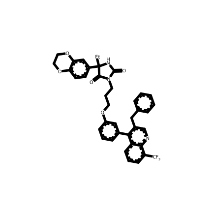 CCC1(c2ccc3c(c2)OCCO3)NC(=O)N(CCCOc2cccc(-c3c(Cc4ccccc4)cnc4c(C(F)(F)F)cccc34)c2)C1=O